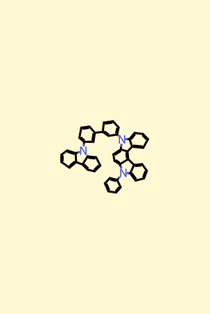 c1ccc(-n2c3ccccc3c3c4c5ccccc5n(-c5cccc(-c6cccc(-n7c8ccccc8c8ccccc87)c6)c5)c4ccc32)cc1